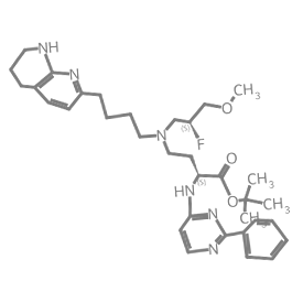 COC[C@@H](F)CN(CCCCc1ccc2c(n1)NCCC2)CC[C@H](Nc1ccnc(-c2ccccc2)n1)C(=O)OC(C)(C)C